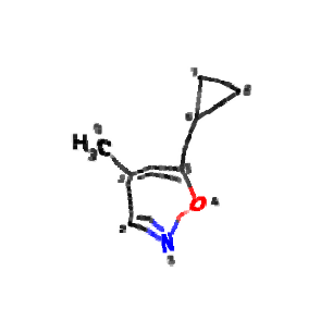 Cc1cnoc1C1CC1